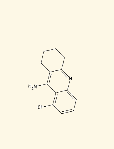 Nc1c2c(nc3cccc(Cl)c13)CCCC2